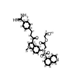 CCOC(=O)CN(c1ccc2c(c1)c(C(=O)CCc1ccc(C(=N)N)cc1)cn2C)S(=O)(=O)c1cccc2cnccc12.Cl